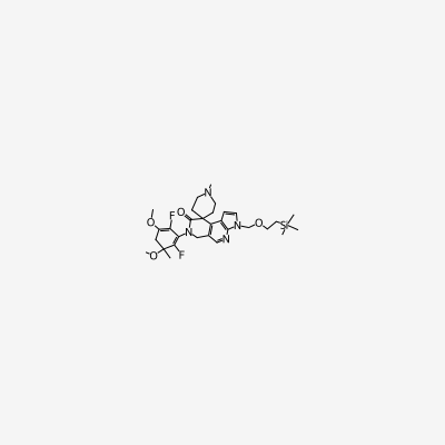 COC1=C(F)C(N2Cc3cnc4c(ccn4COCC[Si](C)(C)C)c3C3(CCN(C)CC3)C2=O)=C(F)C(C)(OC)C1